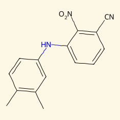 Cc1ccc(Nc2cccc(C#N)c2[N+](=O)[O-])cc1C